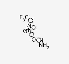 Nc1cc(Oc2ccc(N3C(=O)CN(c4cccc(C(F)(F)F)c4)C3=O)cc2)ccn1